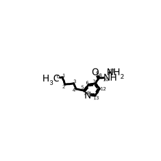 CCCCCc1cc(C(=O)NN)ccn1